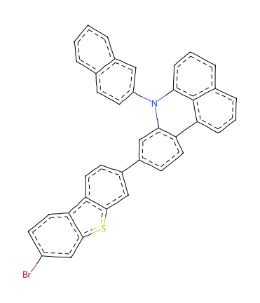 Brc1ccc2c(c1)sc1cc(-c3ccc4c(c3)N(c3ccc5ccccc5c3)c3cccc5cccc-4c35)ccc12